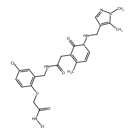 CCNC(=O)COc1ccc(Cl)cc1CNC(=O)Cc1c(C)ccn(NCc2cnn(C)c2C)c1=O